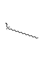 C=CC[N+](C)(C)CCCCCCCCCCCCCCCCCC